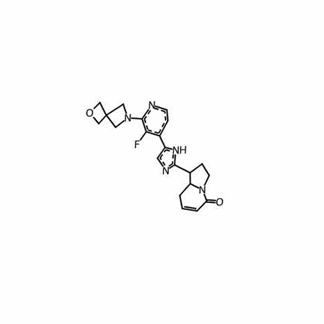 O=C1C=CCC2C(c3ncc(-c4ccnc(N5CC6(COC6)C5)c4F)[nH]3)CCN12